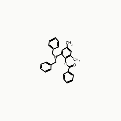 Cc1cc(C)c(OC(=O)c2ccccc2)c(N(Cc2ccccc2)Cc2ccccc2)c1